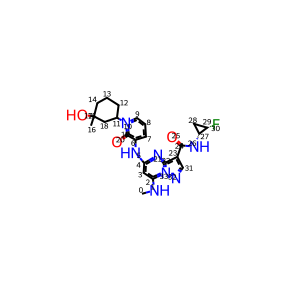 CNc1cc(Nc2cccn(C3CCCC(C)(O)C3)c2=O)nc2c(C(=O)N[C@@H]3C[C@@H]3F)cnn12